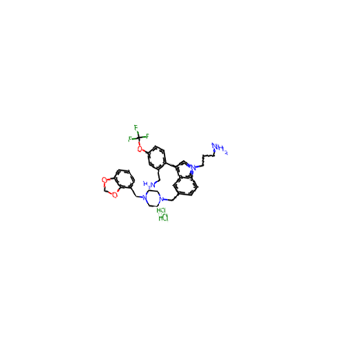 Cl.Cl.NCCCn1cc(-c2ccc(OC(F)(F)F)cc2CN)c2cc(CN3CCN(Cc4cccc5c4OCO5)CC3)ccc21